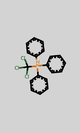 ClC(Cl)(Cl)[PH](c1ccccc1)(c1ccccc1)c1ccccc1